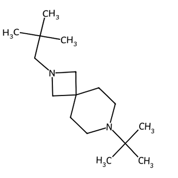 CC(C)(C)CN1CC2(CCN(C(C)(C)C)CC2)C1